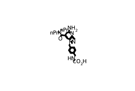 CCCN(CCC)C(=O)C1=Cc2c(cnn2Cc2ccc(CNC(=O)O)cc2)N=C(N)C1